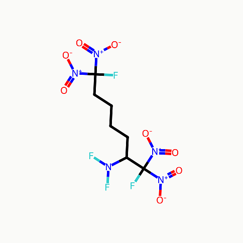 O=[N+]([O-])C(F)(CCCCC(N(F)F)C(F)([N+](=O)[O-])[N+](=O)[O-])[N+](=O)[O-]